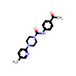 CC(=O)c1ccc(NC(=O)N2CCN(c3ccc(C)cn3)CC2)cc1